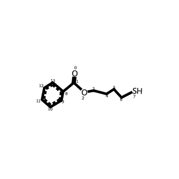 O=C(OCCCCS)c1ccccc1